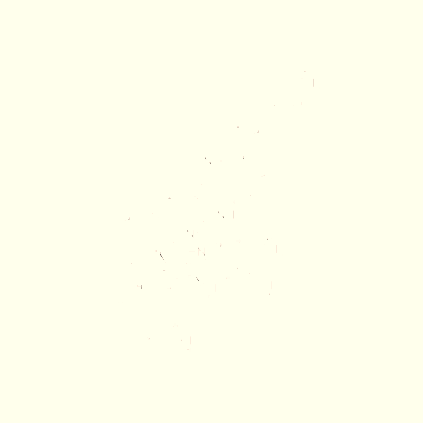 C=C(c1nc(Nc2ccc3c(c2)C=CC3CCOC)c(C#N)cc1F)[C@H](C1=CC(C)=CC(F)=CC1)[C@H](C)NC(C)OC(C)C